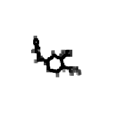 CC1CCC(N=C=O)CC1Cl